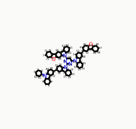 c1ccc(-n2c3ccccc3c3cc(-c4ccc5c(c4)c4ccccc4n5-c4nc(-n5c6ccccc6c6cc(-c7ccc8oc9ccccc9c8c7)ccc65)cc(-n5c6ccccc6c6cc7c(cc65)oc5ccccc57)n4)ccc32)cc1